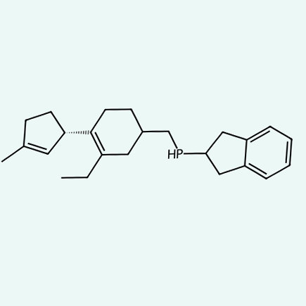 CCC1=C([C@@H]2C=C(C)CC2)CCC(CPC2Cc3ccccc3C2)C1